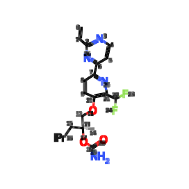 C=Cc1nccc(-c2ccc(OC[C@](C)(CC(C)C)OC(N)=O)c(C(F)F)n2)n1